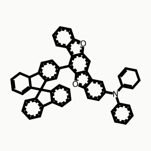 C1=CCC2C(=C1)C1(c3ccccc3-c3ccccc31)c1cc(-c3c4oc5ccc(N(C6=CCCC=C6)c6ccccc6)cc5c4cc4oc5ccccc5c34)ccc12